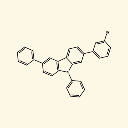 Brc1cccc(-c2ccc3c4cc(-c5ccccc5)ccc4n(-c4ccccc4)c3c2)c1